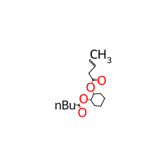 CC=CCC(=O)OC1CCCCC1OC(=O)CCCC